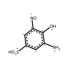 Nc1cc(S(=O)(=O)O)cc(N=O)c1O